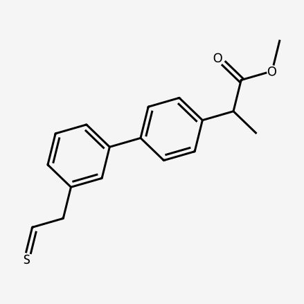 COC(=O)C(C)c1ccc(-c2cccc(CC=S)c2)cc1